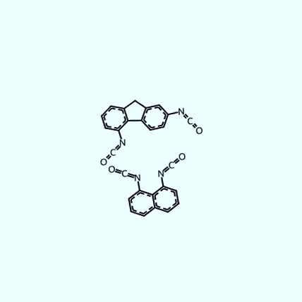 O=C=Nc1ccc2c(c1)Cc1cccc(N=C=O)c1-2.O=C=Nc1cccc2cccc(N=C=O)c12